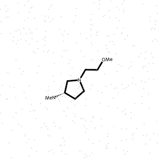 CN[C@H]1CCN(CCOC)C1